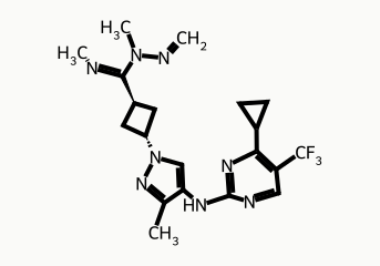 C=NN(C)/C(=N\C)[C@H]1C[C@H](n2cc(Nc3ncc(C(F)(F)F)c(C4CC4)n3)c(C)n2)C1